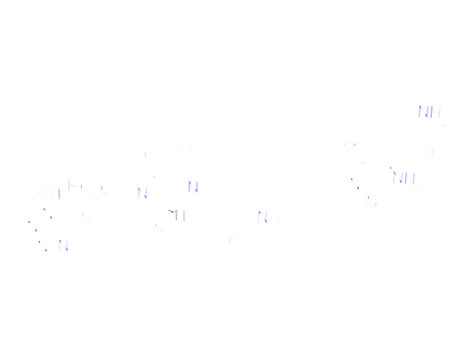 CC(=O)N(C(=O)[C@H](N)CC(N)=O)c1ccc(-c2ccc(CN(C(=O)Cc3ccccc3)C3C(=O)N4C(C(=O)O)=C(CSc5nnnn5C)CS[C@@H]34)c(=O)[nH]2)cc1